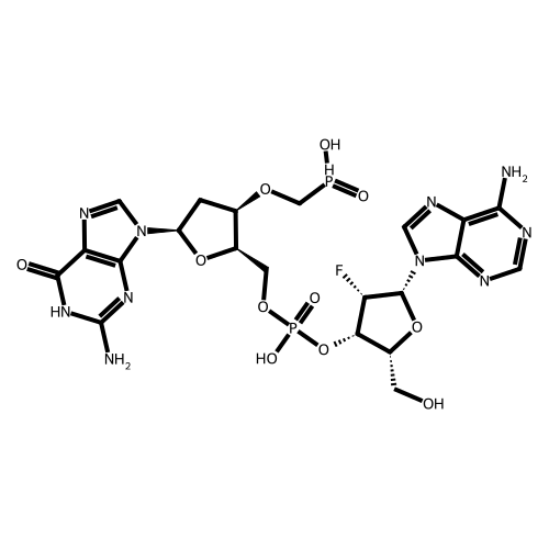 Nc1nc2c(ncn2[C@H]2C[C@@H](OC[PH](=O)O)[C@@H](COP(=O)(O)O[C@@H]3[C@H](F)[C@H](n4cnc5c(N)ncnc54)O[C@@H]3CO)O2)c(=O)[nH]1